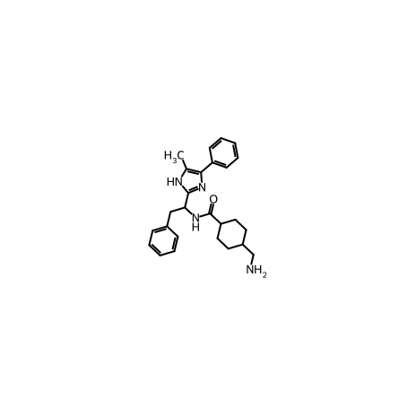 Cc1[nH]c(C(Cc2ccccc2)NC(=O)C2CCC(CN)CC2)nc1-c1ccccc1